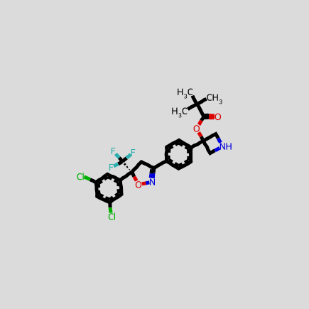 CC(C)(C)C(=O)OC1(c2ccc(C3=NO[C@](c4cc(Cl)cc(Cl)c4)(C(F)(F)F)C3)cc2)CNC1